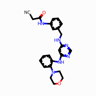 N#CCC(=O)Nc1cccc(CNc2cc(Nc3ccccc3N3CCOCC3)ncn2)c1